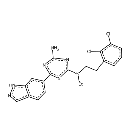 CCN(CCc1cccc(Cl)c1Cl)c1nc(N)nc(-c2ccc3cn[nH]c3c2)n1